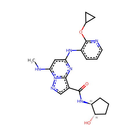 CNc1cc(Nc2cccnc2OC2CC2)nc2c(C(=O)N[C@H]3CCC[C@@H]3O)cnn12